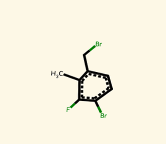 Cc1c(CBr)ccc(Br)c1F